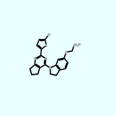 O=C(O)COc1ccc2c(c1)N(c1nc(-c3ccc(Cl)s3)nc3c1CCC3)CC2